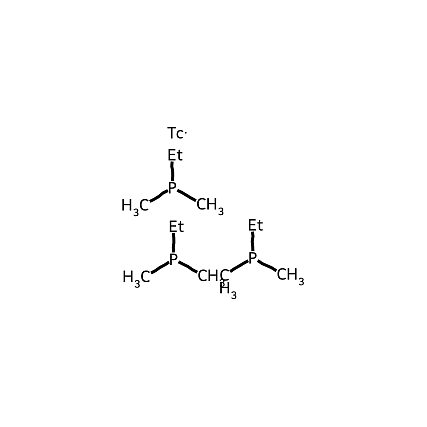 CCP(C)C.CCP(C)C.CCP(C)C.[Tc]